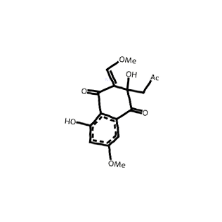 CO/C=C1/C(=O)c2c(O)cc(OC)cc2C(=O)C1(O)CC(C)=O